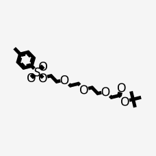 Cc1ccc(S(=O)(=O)OCCOCCOCCOCC(=O)OC(C)(C)C)cc1